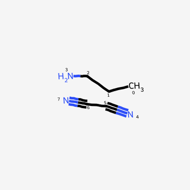 CCCN.N#CC#N